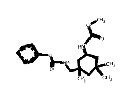 COC(=O)NC1CC(C)(C)CC(C)(CNC(=O)Oc2ccccc2)C1